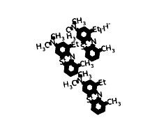 CCc1cc(N(C)C)cc2[s+]c3cccc(C)c3nc12.CCc1cc(N(C)C)cc2[s+]c3cccc(C)c3nc12.CCc1cc(N(C)C)cc2[s+]c3cccc(C)c3nc12.[I-].[I-].[I-]